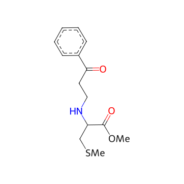 COC(=O)C(CSC)NCCC(=O)c1ccccc1